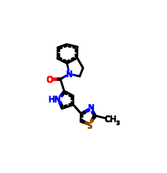 Cc1nc(-c2c[nH]c(C(=O)N3CCc4ccccc43)c2)cs1